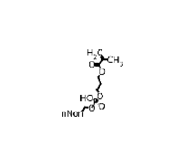 C=C(C)C(=O)OCCCOP(=O)(O)OCCCCCCCCCC